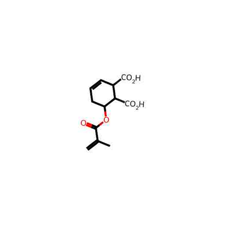 C=C(C)C(=O)OC1CC=CC(C(=O)O)C1C(=O)O